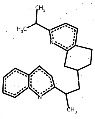 CC(C)c1ccc2c(n1)CC(CC(C)c1ccc3ccccc3n1)CC2